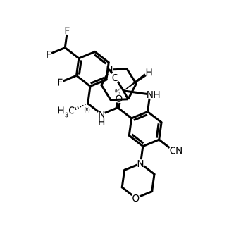 C[C@@H](NC(=O)c1cc(N2CCOCC2)c(C#N)cc1N[C@H]1CN2CCC1CC2)c1cccc(C(F)F)c1F